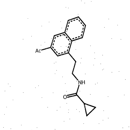 CC(=O)c1cc(CCNC(=O)C2CC2)c2ccccc2c1